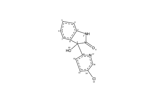 O=C1Nc2ccccc2C1(O)c1ccc(Cl)cn1